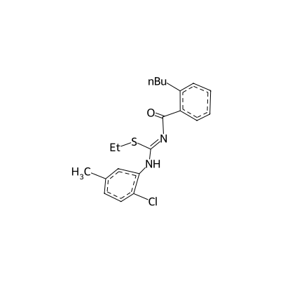 CCCCc1ccccc1C(=O)N=C(Nc1cc(C)ccc1Cl)SCC